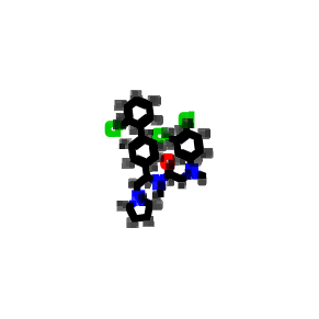 CN(CC(=O)N(C)C(CN1CCCC1)c1ccc(-c2ccccc2Cl)cc1)c1ccc(Cl)c(Cl)c1